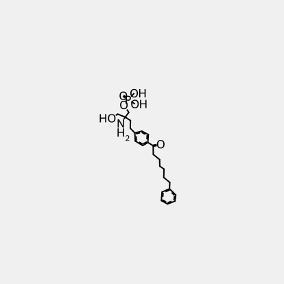 NC(CO)(CCc1ccc(C(=O)CCCCCCc2ccccc2)cc1)COP(=O)(O)O